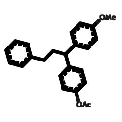 COc1ccc(C(CCc2ccccc2)c2ccc(OC(C)=O)cc2)cc1